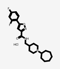 Cl.O=C(NCC1CCN(C2CCCCCC2)CC1)c1cc(-c2ccc(F)cc2F)on1